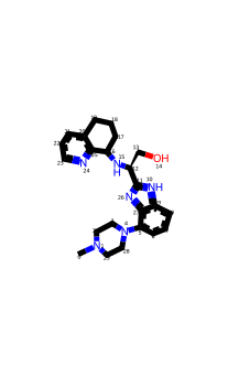 CN1CCN(c2cccc3[nH]c([C@H](CO)NC4CCCc5cccnc54)nc23)CC1